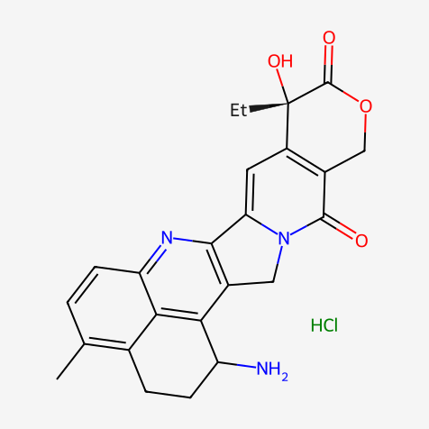 CC[C@@]1(O)C(=O)OCc2c1cc1n(c2=O)Cc2c-1nc1ccc(C)c3c1c2C(N)CC3.Cl